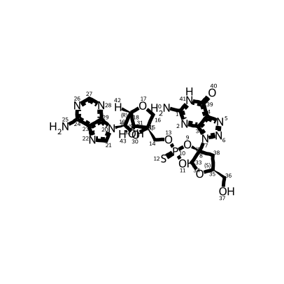 Nc1nc2c(nnn2[C@@]2(OP(O)(=S)OC[C@@]34CO[C@@H]([C@H](n5cnc6c(N)ncnc65)O3)[C@@H]4O)CO[C@H](CO)C2)c(=O)[nH]1